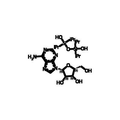 CC(C)[Si](O)(O[Si](O)(C(C)C)C(C)C)C(C)C.Nc1ncnc2c1ncn2[C@@H]1O[C@H](CO)[C@@H](O)[C@H]1O